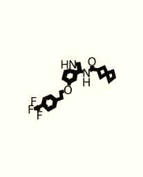 O=C(Nc1c[nH]c2ccc(OCCc3ccc(C(F)(F)F)cc3)cc12)C1CC2(CCC2)C1